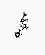 CC[C@@H]1CN([C@H]2CCN(C3CC3)C2=O)C(=O)N1OCc1ccccc1